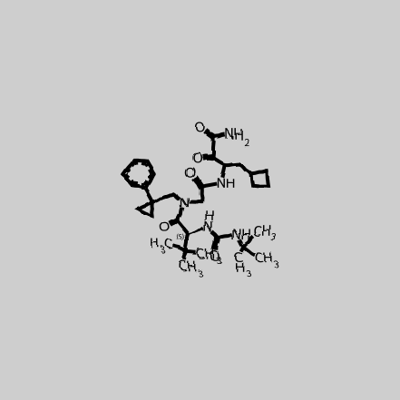 CC(C)(C)NC(=O)N[C@H](C(=O)N(CC(=O)NC(CC1CCC1)C(=O)C(N)=O)CC1(c2ccccc2)CC1)C(C)(C)C